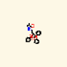 C=C(C)C(=O)NCCC[Si](Oc1ccccc1)(Oc1ccccc1)Oc1ccccc1